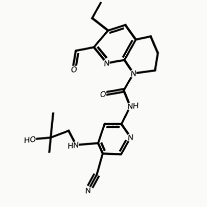 CC(C)(O)CNc1cc(NC(=O)N2CCCc3cc(CO)c(C=O)nc32)ncc1C#N